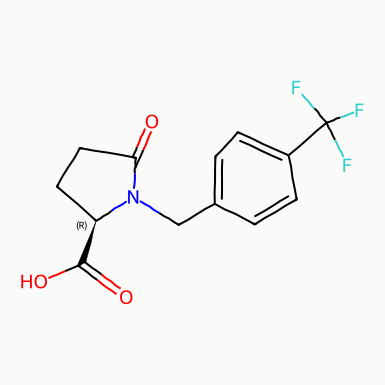 O=C(O)[C@H]1CCC(=O)N1Cc1ccc(C(F)(F)F)cc1